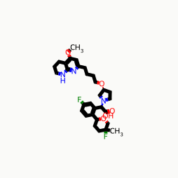 COc1cc(CCCCO[C@@H]2CCN([C@@H](C(=O)O)c3cc(F)ccc3C3CCC(C)(F)CO3)C2)nc2c1CCCN2